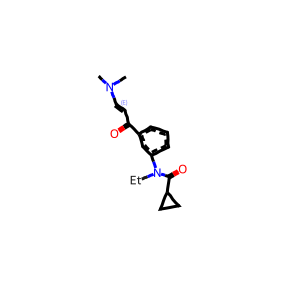 CCN(C(=O)C1CC1)c1cccc(C(=O)/C=C/N(C)C)c1